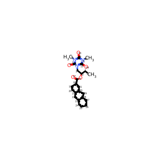 CCC(Cn1c(=O)n(C)c(=O)n(C)c1=O)OC(=O)c1ccc2cc3ccccc3cc2c1